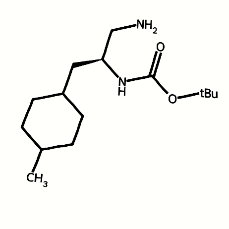 CC1CCC(C[C@@H](CN)NC(=O)OC(C)(C)C)CC1